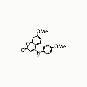 COC1=CC=C2C(N(C)c3ccc(OC)cc3)=CC(=O)OC2C1